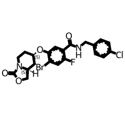 O=C(NCc1ccc(Cl)cc1)c1cc(O[C@H]2CCN3C(=O)OC[C@@H]3C2)c(Br)cc1F